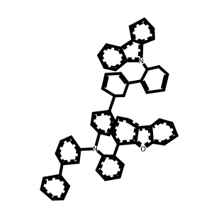 C1=CCC(n2c3ccccc3c3ccccc32)C(C2=CC=CC(c3ccc(N(c4cccc(-c5ccccc5)c4)c4ccccc4-c4cccc5c4oc4ccccc45)cc3)C2)=C1